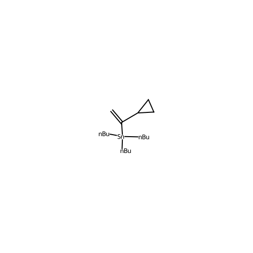 C=[C](C1CC1)[Sn]([CH2]CCC)([CH2]CCC)[CH2]CCC